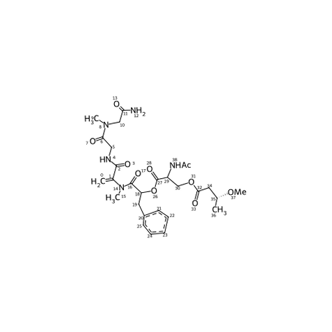 C=C(C(=O)NCC(=O)N(C)CC(N)=O)N(C)C(=O)C(Cc1ccccc1)OC(=O)C(COC(=O)C[C@@H](C)OC)NC(C)=O